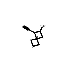 C#CC1C(O)CC12CCC2